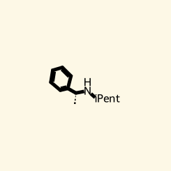 CCCC(C)N[C@H](C)c1ccccc1